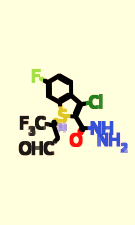 NNC(=O)C1=C(Cl)c2ccc(F)cc2/S1=C(/CC=O)C(F)(F)F